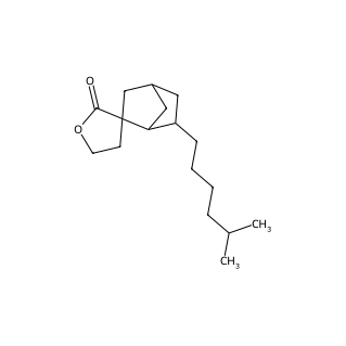 CC(C)CCCCC1CC2CC1C1(CCOC1=O)C2